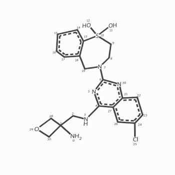 NC1(CNc2nc(N3CCS(O)(O)c4ccccc4C3)nc3ccc(Cl)cc23)COC1